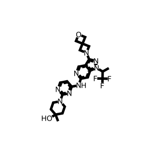 CC(n1nc(N2CC3(COC3)C2)c2cnc(Nc3ccnc(N4CCC(C)(O)CC4)n3)cc21)C(F)(F)F